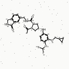 CC(=O)N1C[C@@H](Nc2ccc(OC(F)F)c(OCC3CC3)c2)C[C@@H]1C(=O)NCc1ccc2c(c1)C(=O)NC2